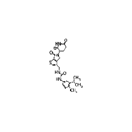 Cc1ccc(NC(=O)NCc2csc3c2CN(C2CCC(=O)NC2=O)C3=O)cc1C(C)C